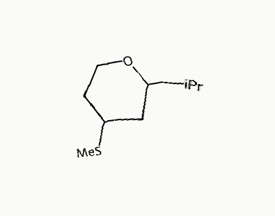 CSC1CCOC(C(C)C)C1